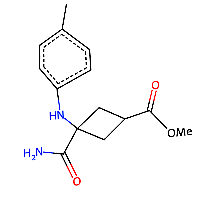 COC(=O)C1CC(Nc2ccc(C)cc2)(C(N)=O)C1